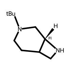 CC(C)(C)N1CCC2CN[C@H]2C1